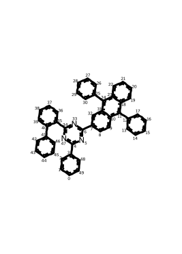 c1ccc(-c2nc(-c3ccc4c(-c5ccccc5)c5ccccc5c(-c5ccccc5)c4c3)nc(-c3ccccc3-c3ccccc3)n2)cc1